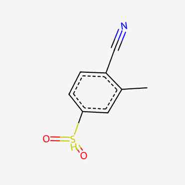 Cc1cc([SH](=O)=O)ccc1C#N